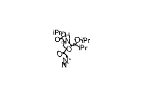 CC(C)OC(=O)[C@H](CCC(=O)C=[N+]=[N-])NC(=O)[C@@H](OC(C)C)C(C)C